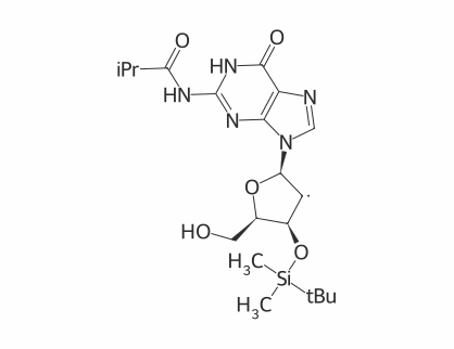 CC(C)C(=O)Nc1nc2c(ncn2[C@H]2[CH][C@@H](O[Si](C)(C)C(C)(C)C)[C@@H](CO)O2)c(=O)[nH]1